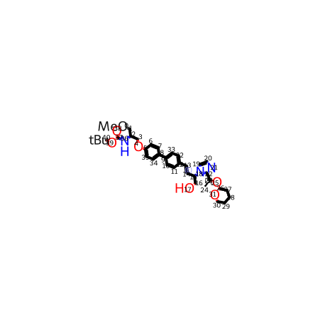 COCC(COc1ccc(-c2ccc(/C=C/C(CO)n3ccnc3[C@H](C)OC3CCCCO3)cc2)cc1)NC(=O)OC(C)(C)C